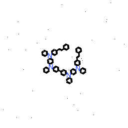 C(=Cc1ccc(N(c2ccccc2)c2ccc(N(c3ccccc3)c3ccc(-c4ccc(N(c5ccccc5)c5ccc(N(c6ccccc6)c6ccc(C=Cc7ccccc7)cc6)cc5)cc4)cc3)cc2)cc1)c1ccccc1